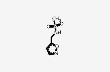 CS(=O)(=O)NCc1c[c]no1